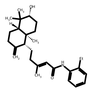 C=C1CC[C@@H]2C(C)(C)[C@H](O)CC[C@@]2(C)[C@@H]1CCC(C)=CC(=O)Nc1ccccc1CC